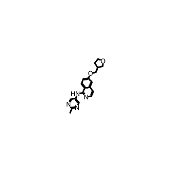 Cc1ncc(Nc2nccc3cc(OCC4CCOC4)ccc23)cn1